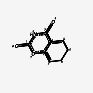 O=c1[nH]c(=O)c2c(o1)=CCCC=2